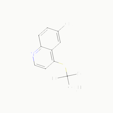 CCC(CC)(Sc1ccnc2ccc(C(F)(F)F)cc12)C(=O)O